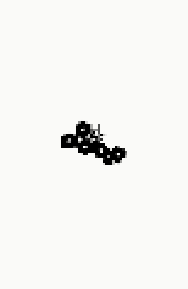 CC(=O)c1ccccc1-c1c(-c2ccccc2)ccc2c1[nH]c1cc3c(cc12)C(C)(C)c1ccccc1-3